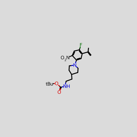 C=C(C)c1cc(N2CCC(CCNC(=O)OC(C)(C)C)CC2)c([N+](=O)[O-])cc1F